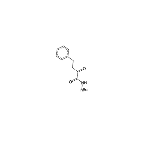 CCCCNC(=O)C(=O)CCc1ccccc1